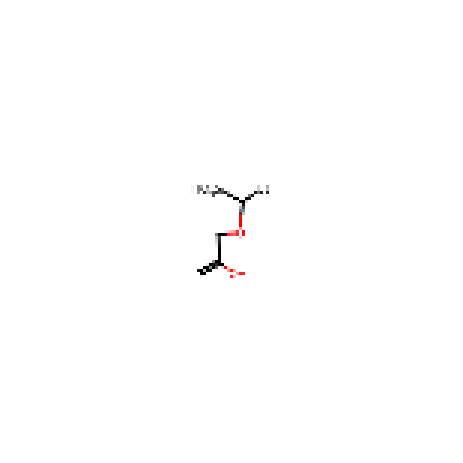 C=C(O)COC(CC)S(=O)(=O)O